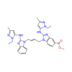 CCn1nc(C)cc1Nc1nc2ccccc2n1C/C=C/Cn1c(Nc2cc(C)nn2CC)nc2cc(C(=O)OC)ccc21